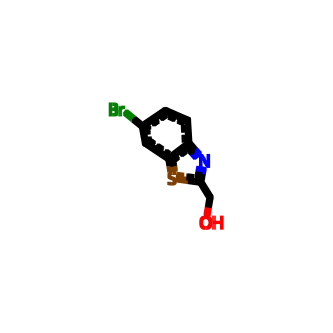 OCc1nc2ccc(Br)cc2s1